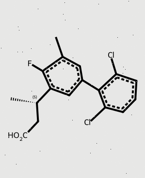 Cc1cc(-c2c(Cl)cccc2Cl)cc([C@@H](C)CC(=O)O)c1F